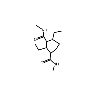 CCC1CCC(C(=O)NC)C(CC)C1C(=O)NC